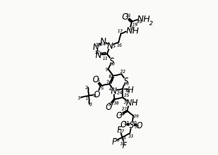 CC(C)(C)OC(=O)C1=C(CSc2nnnn2CCNC(N)=O)CS[C@@H]2C(NC(=O)CS(=O)(=O)CC(F)(F)F)C(=O)N12